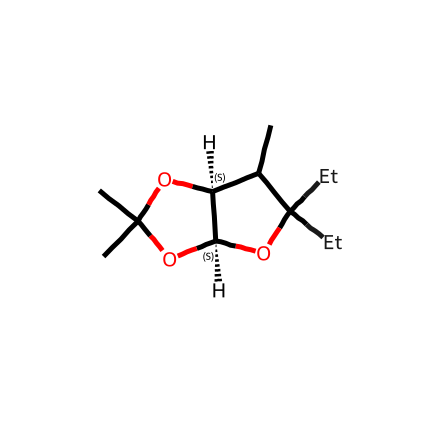 CCC1(CC)O[C@H]2OC(C)(C)O[C@H]2C1C